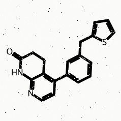 O=C1CCc2c(-c3cccc(Cc4cccs4)c3)ccnc2N1